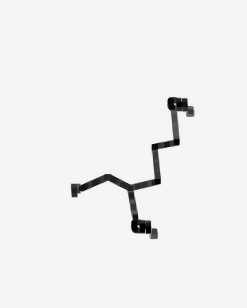 CCCCC(C)CF